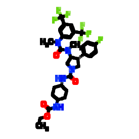 CCOC(=O)N[C@H]1CC[C@H](NC(=O)N2C[C@@H](N(C)C(=O)N(C)c3cc(C(F)(F)F)cc(C(F)(F)F)c3)[C@H](c3ccc(F)cc3)C2)CC1